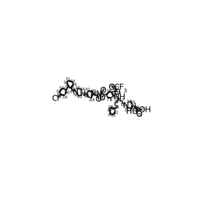 O=C(NS(=O)(=O)c1ccc(N[C@H](CCN2CCN(CP(=O)(O)O)CC2)CSc2ccccc2)c(S(=O)(=O)C(F)(F)F)c1)c1ccc(N2CCN(Cc3ccccc3-c3ccc(Cl)cc3)CC2)cc1